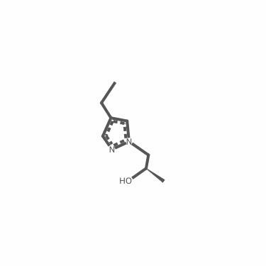 CCc1cnn(C[C@@H](C)O)c1